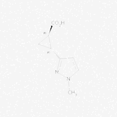 Cn1ccc([C@@H]2C[C@H]2C(=O)O)n1